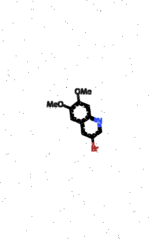 COc1cc2cc(Br)cnc2cc1OC